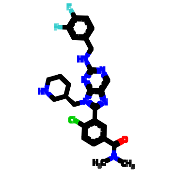 CN(C)C(=O)c1ccc(Cl)c(-c2nc3cnc(NCc4ccc(F)c(F)c4)nc3n2C[C@@H]2CCCNC2)c1